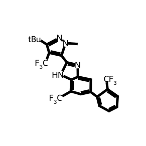 Cn1nc(C(C)(C)C)c(C(F)(F)F)c1-c1nc2cc(-c3ccccc3C(F)(F)F)cc(C(F)(F)F)c2[nH]1